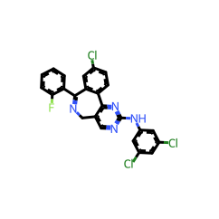 Fc1ccccc1C1=NCc2cnc(Nc3cc(Cl)cc(Cl)c3)nc2-c2ccc(Cl)cc21